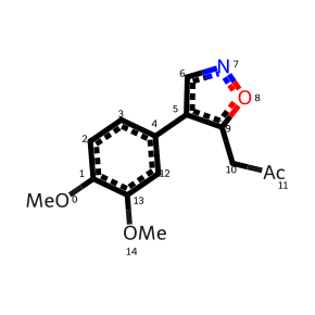 COc1ccc(-c2cnoc2CC(C)=O)cc1OC